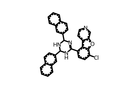 Clc1ccc(C2=NC(c3ccc4ccccc4c3)NC(c3ccc4ccccc4c3)N2)c2c1oc1cnccc12